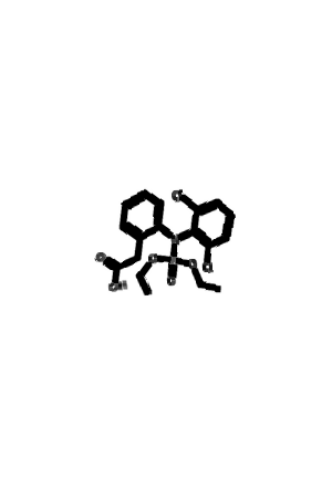 CCOP(=O)(OCC)N(c1ccccc1CC(=O)O)c1c(Cl)cccc1Cl